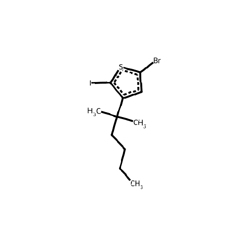 CCCCC(C)(C)c1cc(Br)sc1I